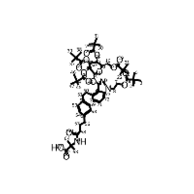 CC(C)(C)C(=O)OCCn1nc(O[C@@H]2O[C@H](COC(=O)C(C)(C)C)[C@@H](OC(=O)C(C)(C)C)[C@H](OC(=O)C(C)(C)C)[C@H]2OC(=O)C(C)(C)C)c2c(CCc3ccc(CCCC(=O)NC(C)(C)C(=O)O)cc3)cccc21